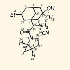 CCC1CC2CC(C)(O)CC([C@H](N)C(=O)N3[C@H](C#N)C[C@@H]4C[C@@H]43)(C1)C2